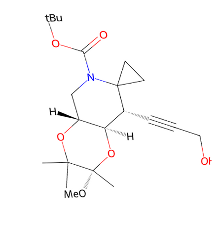 CO[C@@]1(C)O[C@@H]2[C@@H](C#CCO)C3(CC3)N(C(=O)OC(C)(C)C)C[C@H]2OC1(C)C